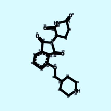 O=C1CCC(N2C(=O)c3cccc(OCC4CCNCC4)c3C2=O)C(=O)N1